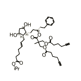 C#CCCCC(=O)OCC(C)(COC(=O)CCCC#C)C(=O)O[C@@H](CCc1ccccc1)CC[C@@H]1[C@@H](CC=CCCCC(=O)OC(C)C)[C@@H](O)C[C@H]1O